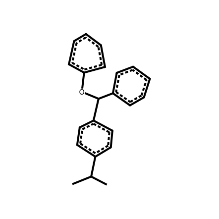 CC(C)c1ccc(C(Oc2ccccc2)c2ccccc2)cc1